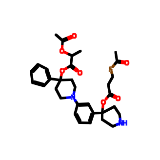 CC(=O)OC(C)C(=O)OC1(c2ccccc2)CCN(c2cccc(C3(OC(=O)CCSC(C)=O)CCNCC3)c2)CC1